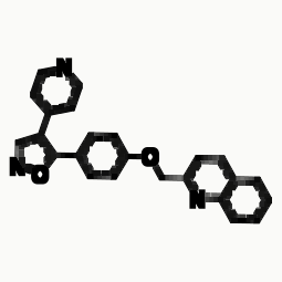 c1ccc2nc(COc3ccc(-c4oncc4-c4ccncc4)cc3)ccc2c1